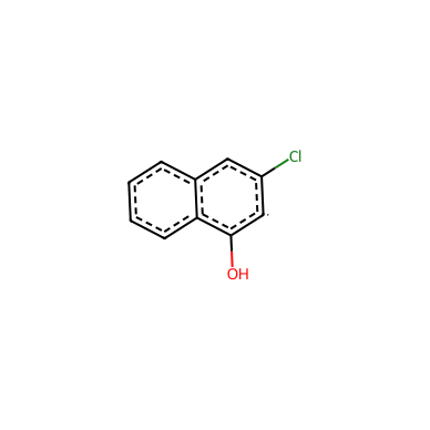 Oc1[c]c(Cl)cc2ccccc12